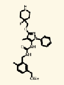 COCc1ccc(C)c(CNC(=O)Nc2c(C)c(OCC3(F)CCNCC3)nn2-c2ccccc2)c1